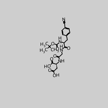 CC(C)(C)OC(=O)NC(Cc1ccc(C#N)cc1)C(=O)NCC(=O)N[C@@H](CC(=O)O)C(=O)O